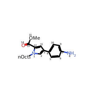 CCCCCCCCn1cc(-c2ccc(N)cc2)cc1C(=O)OC